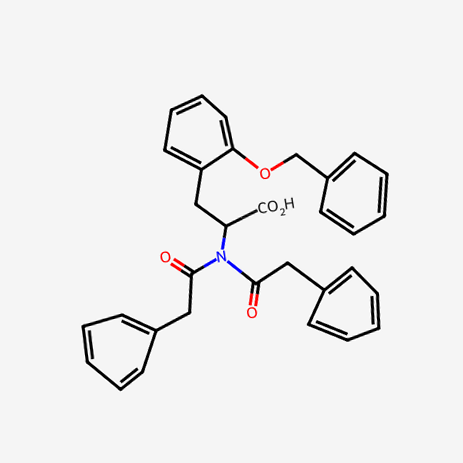 O=C(O)C(Cc1ccccc1OCc1ccccc1)N(C(=O)Cc1ccccc1)C(=O)Cc1ccccc1